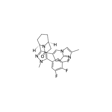 Cc1cn2cc(C(=O)N3[C@H]4CCC[C@@H]3c3nn(C)c(-c5cc(F)c(F)c(F)c5)c3C4)ccc2n1